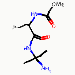 COC(=O)NC(C(=O)NC(C)(C)N)C(C)C